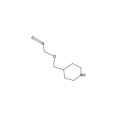 O=NCOCC1CCNCC1